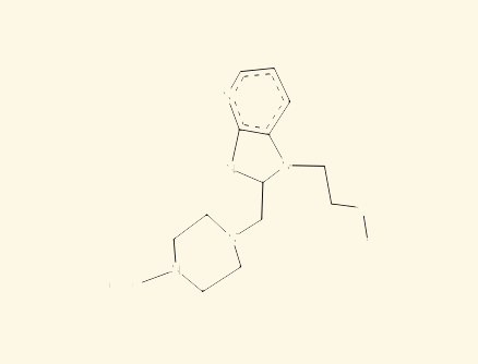 CCOCCN1c2cccnc2NC1CN1CCN(C(=O)OCC)CC1